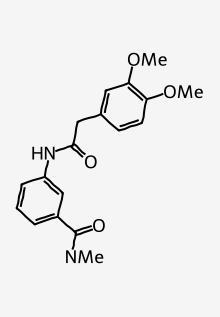 CNC(=O)c1cccc(NC(=O)Cc2ccc(OC)c(OC)c2)c1